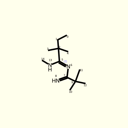 CCC(C)(C)/C(=N/C(=N)C(C)(C)C)NC